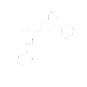 CC(CCC(N)C(=O)Nc1ccccc1)S(=O)(=O)c1ccccc1